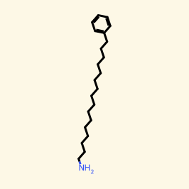 NCCCCCCCCCCCCCCCCc1ccccc1